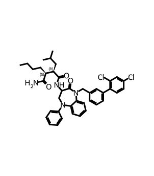 CCCC[C@H](C(N)=O)[C@@H](CC(C)C)C(=O)NC1CN(c2ccccc2)c2ccccc2N(Cc2cccc(-c3ccc(Cl)cc3Cl)c2)C1=O